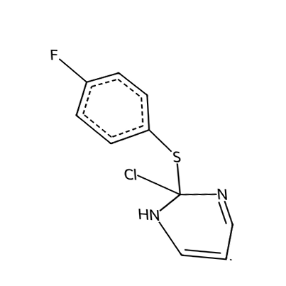 Fc1ccc(SC2(Cl)N=C[C]=CN2)cc1